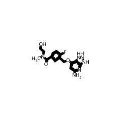 CN(CCO)C(=O)c1ccc(F)c(COc2cc(N)nc3c2NNN3)c1